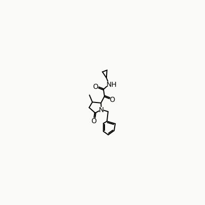 CC1CC(=O)N(Cc2ccccc2)C1C(=O)C(=O)NC1CC1